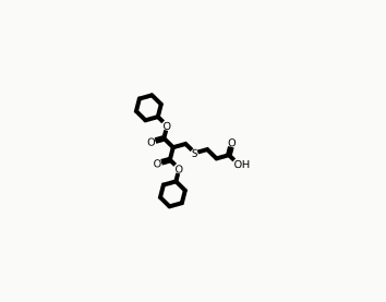 O=C(O)CCSCC(C(=O)OC1CCCCC1)C(=O)OC1CCCCC1